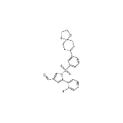 O=Cc1cc(-c2ccccc2F)n(S(=O)(=O)c2cccc(C3=CCC4(CC3)OCCO4)c2)c1